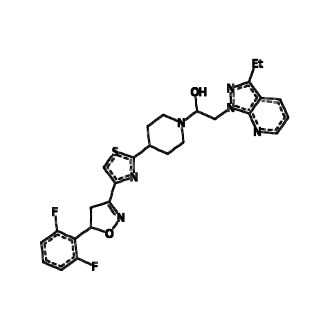 CCc1nn(CC(O)N2CCC(c3nc(C4=NOC(c5c(F)cccc5F)C4)cs3)CC2)c2ncccc12